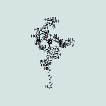 CCCCCCCCCCNCCNC12C[C@H](O[C@@H]3C(O)C(O)[C@@H](CO)O[C@H]3Oc3c4cc5cc3Oc3ccc(cc3Cl)[C@@H](O)[C@@H](NC(=O)[C@@H](CC(C)C)NC)C(=O)NC(CC(N)=O)C(=O)N[C@H]5C(=O)N[C@@H]3C(=O)N[C@H](C(=O)N[C@H](C(=O)O)c5cc(O)c(CNCCO[C@@H]6OC(CO)[C@H](O)[C@H](O)C6O)c(O)c5-c5cc3ccc5O)[C@H](O)c3ccc(c(Cl)c3)O4)C1[C@@H](C)[C@@H]2O